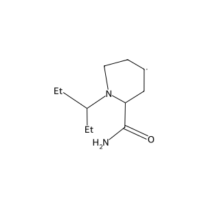 CCC(CC)N1CC[CH]CC1C(N)=O